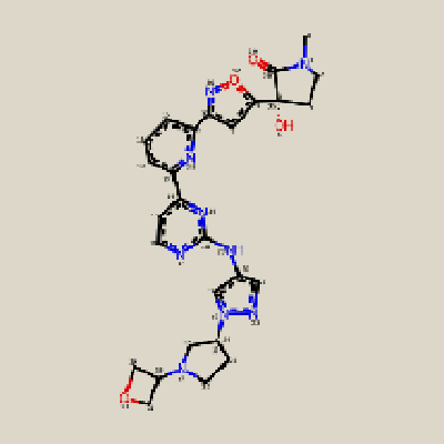 CN1CC[C@@](O)(c2cc(-c3cccc(-c4ccnc(Nc5cnn([C@H]6CCN(C7COC7)C6)c5)n4)n3)no2)C1=O